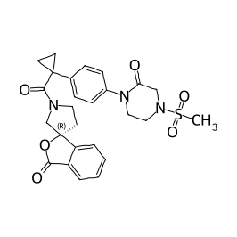 CS(=O)(=O)N1CCN(c2ccc(C3(C(=O)N4CC[C@@]5(C4)OC(=O)c4ccccc45)CC3)cc2)C(=O)C1